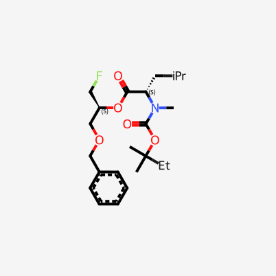 CCC(C)(C)OC(=O)N(C)[C@@H](CC(C)C)C(=O)O[C@H](CF)COCc1ccccc1